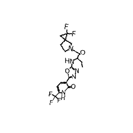 CCC(Nc1nnc(-c2ccc(C(F)(F)F)[nH]c2=O)o1)C(=O)N1CCC2(C1)CC2(F)F